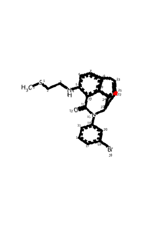 CSCCNc1ccc2c3c1C(=O)N(c1cccc(Br)c1)C(C=C2)C3=O